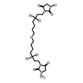 CCN1CC(=O)N(CCC(CC)(CC)CCCCOCCCCC(CC)(CC)CCN2C(=O)CN(C)C2=O)C1=O